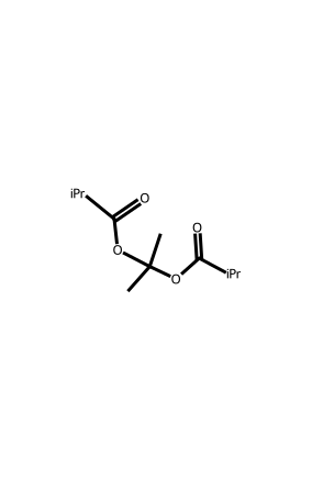 CC(C)C(=O)OC(C)(C)OC(=O)C(C)C